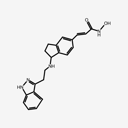 O=C(/C=C/c1ccc2c(c1)CCC2NCCc1n[nH]c2ccccc12)NO